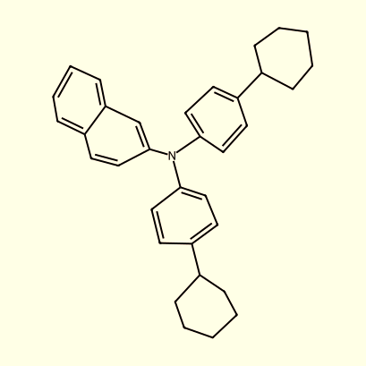 c1ccc2cc(N(c3ccc(C4CCCCC4)cc3)c3ccc(C4CCCCC4)cc3)ccc2c1